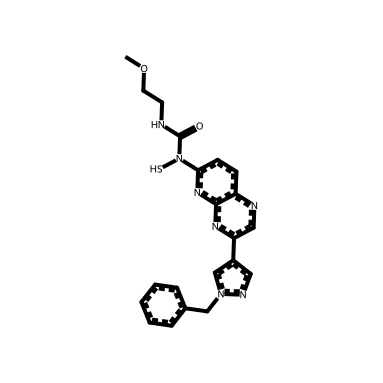 COCCNC(=O)N(S)c1ccc2ncc(-c3cnn(Cc4ccccc4)c3)nc2n1